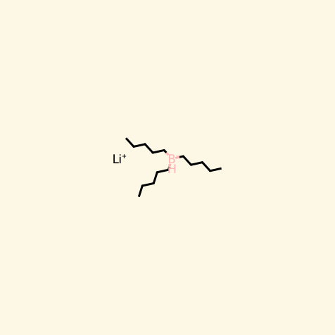 CCCCC[BH-](CCCCC)CCCCC.[Li+]